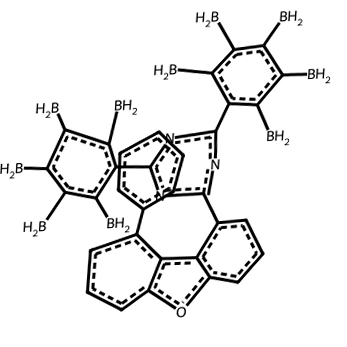 Bc1c(B)c(B)c(-c2nc(-c3c(B)c(B)c(B)c(B)c3B)nc(-c3cccc4oc5cccc(-c6ccccc6)c5c34)n2)c(B)c1B